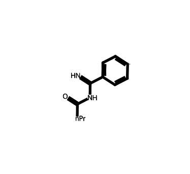 CCCC(=O)NC(=N)c1cc[c]cc1